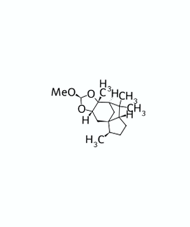 CO[C@@H]1O[C@H]2C[C@@]34C[C@H](C(C)(C)[C@@H]3CC[C@H]4C)[C@@]2(C)O1